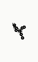 c1ccc(-c2ccc(-c3nc(-c4ccc5ccccc5c4)nc(-c4cccc5c4ccc4c6ccncc6sc54)n3)cc2)cc1